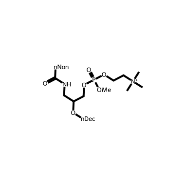 CCCCCCCCCCOC(CNC(=O)CCCCCCCCC)COP(=O)(OC)OCC[N+](C)(C)C